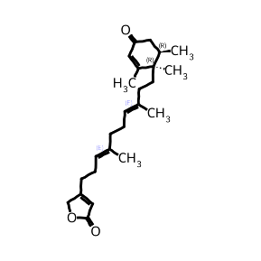 CC1=CC(=O)C[C@@H](C)[C@@]1(C)CC/C(C)=C/CC/C(C)=C/CCC1=CC(=O)OC1